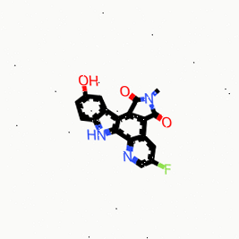 CN1C(=O)c2c(c3c4cc(O)ccc4[nH]c3c3ncc(F)cc23)C1=O